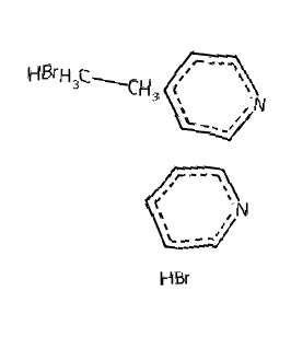 Br.Br.CC.c1ccncc1.c1ccncc1